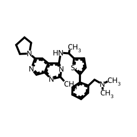 Cc1nc(NC(C)c2ccc(-c3ccccc3CN(C)C)s2)c2cc(N3CCCC3)ncc2n1